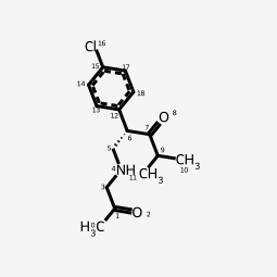 CC(=O)CNC[C@@H](C(=O)C(C)C)c1ccc(Cl)cc1